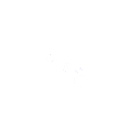 C=C(CCNC(=O)COc1ccc(Cl)cc1)c1nnc(COC2CCC2)o1